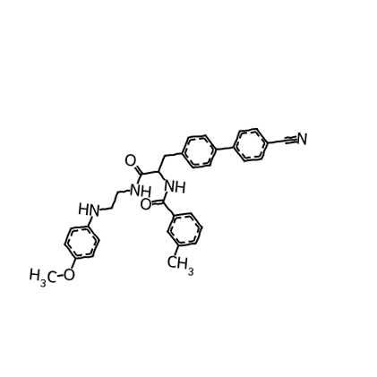 COc1ccc(NCCNC(=O)C(Cc2ccc(-c3ccc(C#N)cc3)cc2)NC(=O)c2cccc(C)c2)cc1